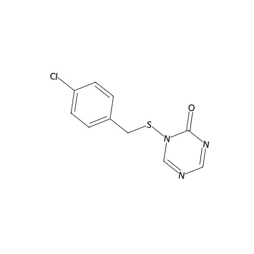 O=c1ncncn1SCc1ccc(Cl)cc1